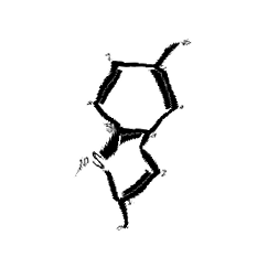 [CH2]c1cc2cc(C)ccc2s1